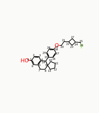 Oc1ccc2c(c1)CCC1(CCCC1)C2c1ccc(OCCC2CC(CF)C2)cc1